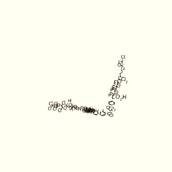 C1CCOC1.C1COCCO1.CC#N.CC(=O)O.CC(C)=O.CC(C)O.CC(C)OC(C)C.CCC(C)=O.CCCCO.CCCCOC(C)=O.CCCO.CCO.CCOC(C)=O.CCOCC.CN(C)C=O.CO.COC(C)(C)C.Cc1ccccc1.Cc1ccccc1C.ClC(Cl)(Cl)Cl.ClC(Cl)Cl.ClC=C(Cl)Cl.ClCCCl.ClCCl.c1ccccc1